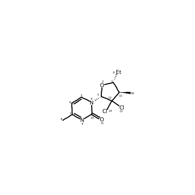 CC[C@H]1O[C@@H](n2ccc(C)nc2=O)C(Cl)(Cl)[C@@H]1C